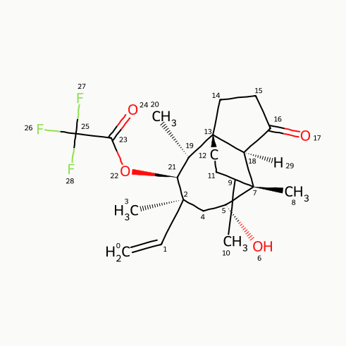 C=C[C@]1(C)C[C@@H](O)[C@]2(C)C(C)CC[C@]3(CCC(=O)[C@H]32)[C@@H](C)[C@@H]1OC(=O)C(F)(F)F